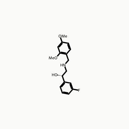 COc1ccc(CNC[C@@H](O)c2cccc(F)c2)c(OC)c1